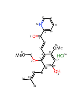 COCOc1c(C=CC(=O)c2ccccn2)c(OC)cc(O)c1CC=C(C)C.Cl